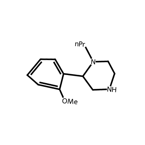 CCCN1CCNCC1c1ccccc1OC